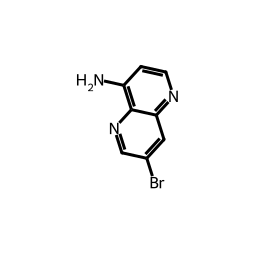 Nc1ccnc2cc(Br)cnc12